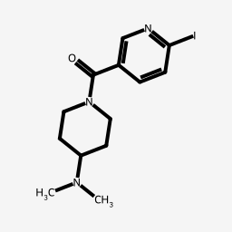 CN(C)C1CCN(C(=O)c2ccc(I)nc2)CC1